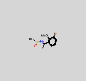 COc1c(Br)cccc1[C@@H](C)N[S@@+]([O-])C(C)(C)C